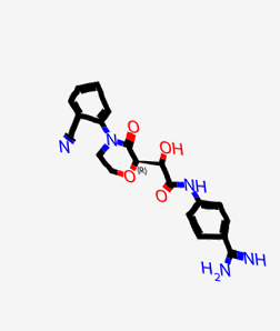 N#Cc1ccccc1N1CCO[C@H](C(O)C(=O)Nc2ccc(C(=N)N)cc2)C1=O